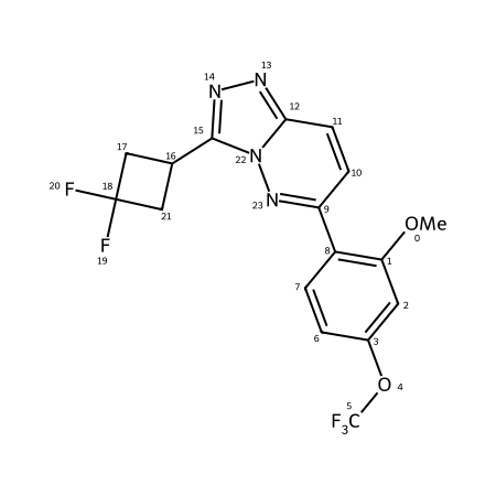 COc1cc(OC(F)(F)F)ccc1-c1ccc2nnc(C3CC(F)(F)C3)n2n1